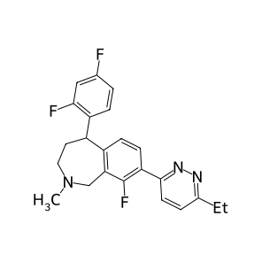 CCc1ccc(-c2ccc3c(c2F)CN(C)CCC3c2ccc(F)cc2F)nn1